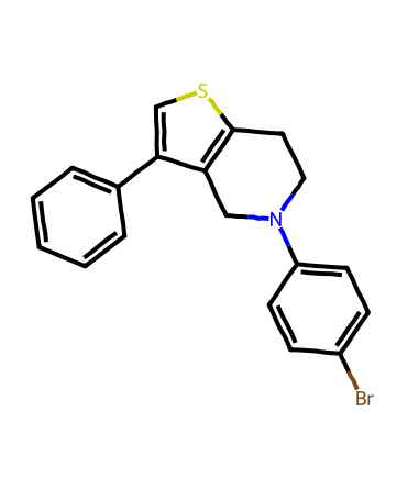 Brc1ccc(N2CCc3scc(-c4ccccc4)c3C2)cc1